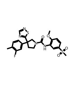 COc1ccc(S(C)(=O)=O)cc1NC(=O)N1CCC(c2ccc(C)c(F)c2)(c2ncns2)C1